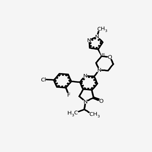 CC(C)N1Cc2c(cc(N3CCO[C@H](c4cnn(C)c4)C3)nc2-c2ccc(Cl)cc2F)C1=O